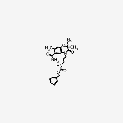 Cc1cc2c(cc1C(N)=O)N(CCCNC(=O)OCc1ccccc1)C(=O)C(C)(C)O2